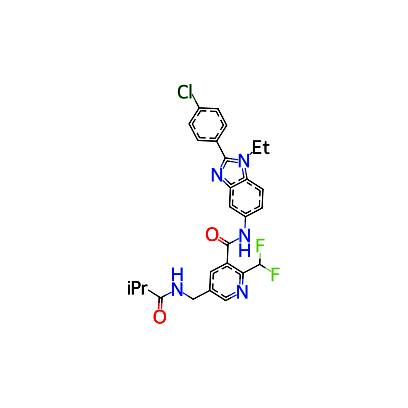 CCn1c(-c2ccc(Cl)cc2)nc2cc(NC(=O)c3cc(CNC(=O)C(C)C)cnc3C(F)F)ccc21